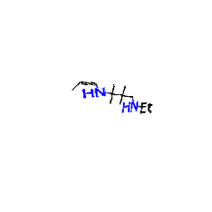 C/C=C\NC(C)(C)C(C)(C)CNCC